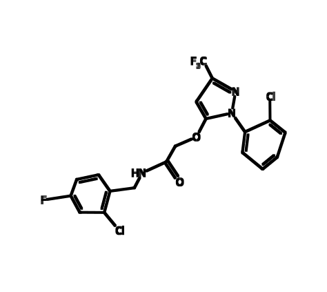 O=C(COc1cc(C(F)(F)F)nn1-c1ccccc1Cl)NCc1ccc(F)cc1Cl